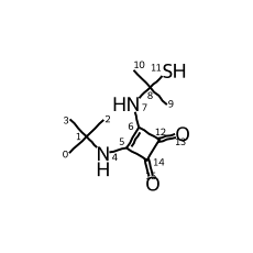 CC(C)(C)Nc1c(NC(C)(C)S)c(=O)c1=O